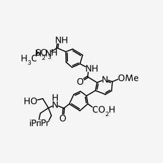 COc1ccc(-c2ccc(C(=O)NC(CO)(CC(C)C)CC(C)C)cc2C(=O)O)c(C(=O)Nc2ccc(C(=N)N)cc2)n1.CS(=O)(=O)O